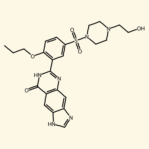 CCCOc1ccc(S(=O)(=O)N2CCN(CCO)CC2)cc1-c1nc2cc3nc[nH]c3cc2c(=O)[nH]1